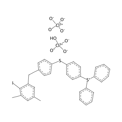 Cc1cc(C)c(I)c(Cc2ccc(Sc3ccc([S+](c4ccccc4)c4ccccc4)cc3)cc2)c1.[O-][Cl+3]([O-])([O-])O.[O-][Cl+3]([O-])([O-])[O-]